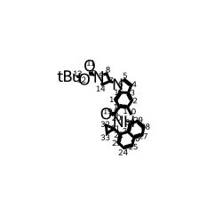 Cc1cc2ccn(C3CN(C(=O)OC(C)(C)C)C3)c2cc1C(=O)NC1(c2cccc3ccccc23)CC1